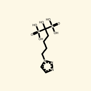 O=P(O)(O)C(O)(CCCCn1ccnn1)P(=O)(O)O